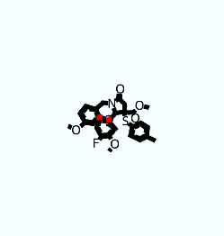 COC(=O)C1(Sc2ccc(C)cc2)CC(=O)N(Cc2ccc(OC)cc2OC)C1c1ccc(F)c(OC)c1